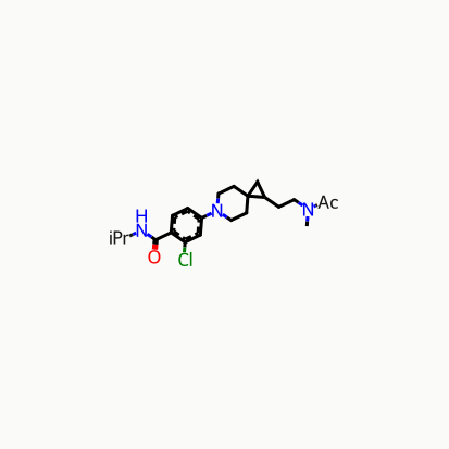 CC(=O)N(C)CCC1CC12CCN(c1ccc(C(=O)NC(C)C)c(Cl)c1)CC2